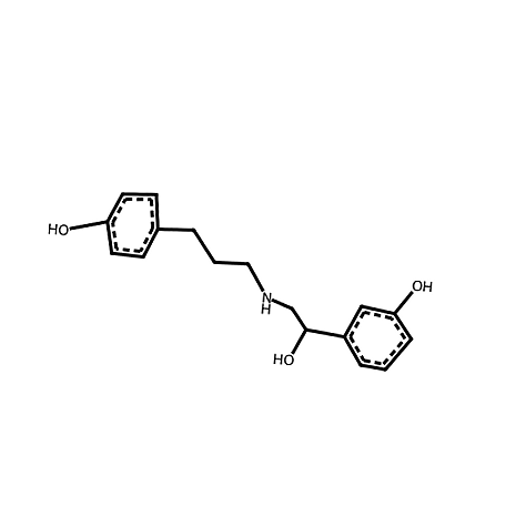 Oc1ccc(CCCNCC(O)c2cccc(O)c2)cc1